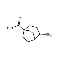 NC(=O)C12CCC(N)C(CC1)CC2